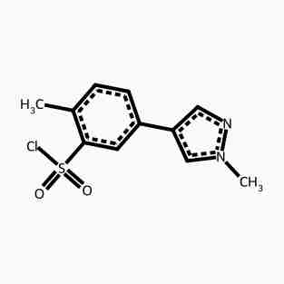 Cc1ccc(-c2cnn(C)c2)cc1S(=O)(=O)Cl